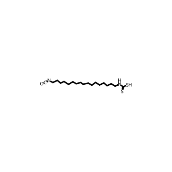 O=C=NCCCCCCCCCCCCCCCCCNC(=S)S